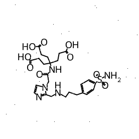 NS(=O)(=O)c1ccc(CCCNCc2nccn2CC(=O)NC(CCC(=O)O)(CCC(=O)O)CCC(=O)O)cc1